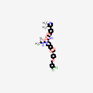 Cc1nccc(-c2ccc(C[C@H](NC(=O)[C@@H]3Cc4cc5c(cc4CN3C(=O)NC(C)C)O[C@@H](c3ccc(OCc4ccc(Cl)c(Cl)c4)cc3)CO5)C(=O)O)cc2)c1C